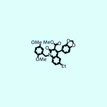 CCc1ccc2c(c1)c(-c1ccc3c(c1)OCO3)c(C(=O)OC)c(=O)n2Cc1cc(OC)ccc1OC